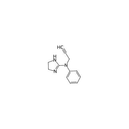 C#CCN(C1=NCCN1)c1ccccc1